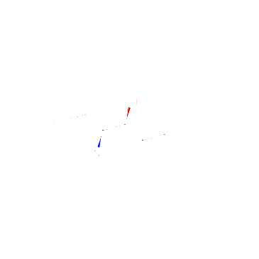 CC(C)C[C@H](N)[C@@H](O)CCC(=O)O